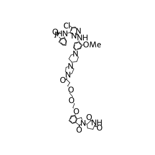 COc1cc(N2CCC(N3CCN(C(=O)CCOCCOCCOc4cccc5c4CN(C4CCC(=O)NC4=O)C5=O)CC3)CC2)ccc1Nc1ncc(Cl)c(Nc2ccccc2P(C)(C)=O)n1